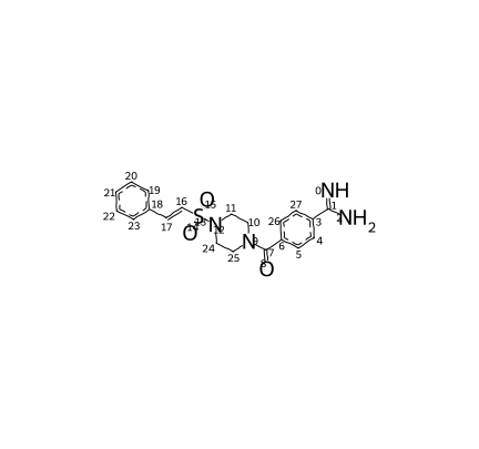 N=C(N)c1ccc(C(=O)N2CCN(S(=O)(=O)C=Cc3ccccc3)CC2)cc1